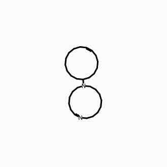 C1=CCCCCCC(N2CCCCCC=NCCCCCCCC2)CCCCCCCC1